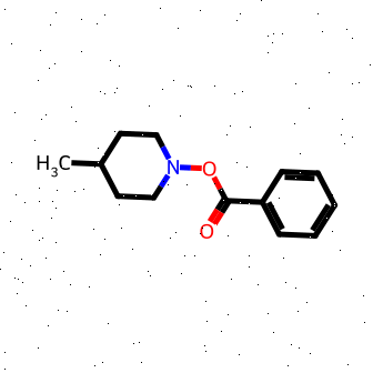 CC1CCN(OC(=O)c2ccccc2)CC1